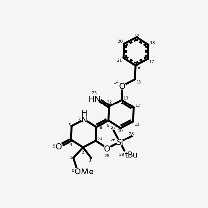 COCC1(C)C(=O)CN/C(=C2/C=CC=C(OCc3ccccc3)C2=N)C1O[Si](C)(C)C(C)(C)C